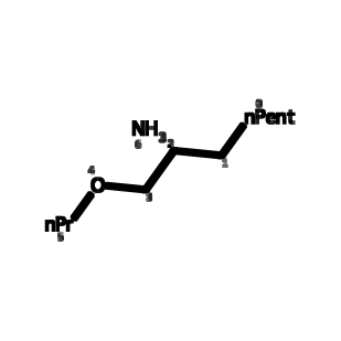 CCCCCCCCOCCC.N